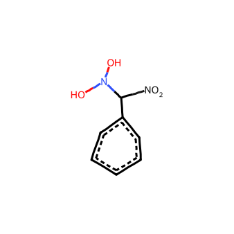 O=[N+]([O-])C(c1ccccc1)N(O)O